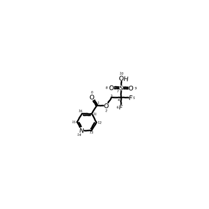 O=C(OCC(F)(F)S(=O)(=O)O)c1ccncc1